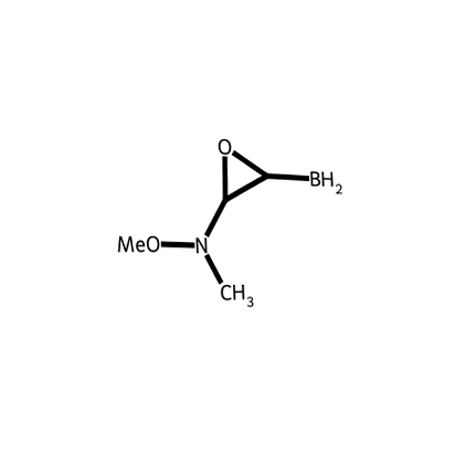 BC1OC1N(C)OC